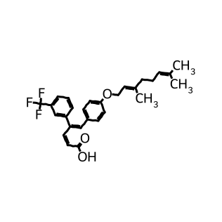 CC(C)=CCC/C(C)=C/COc1ccc(/C=C(/C=C\C(=O)O)c2cccc(C(F)(F)F)c2)cc1